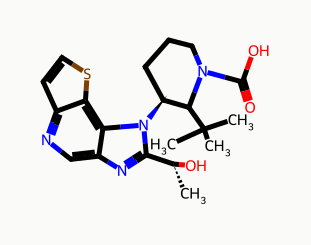 C[C@@H](O)c1nc2cnc3ccsc3c2n1[C@H]1CCCN(C(=O)O)C1C(C)(C)C